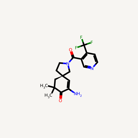 CC1(C)C[C@@]2(C=C(N)C1=O)CCN(C(=O)c1cnccc1C(F)(F)F)C2